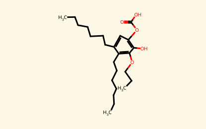 CCCCCCCc1cc(OC(=O)O)c(O)c(OCCC)c1CCCCCCC